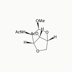 CO[C@H]1O[C@@H]2CO[C@H]([C@H]1NC(C)=O)[C@@H]2OC(C)=O